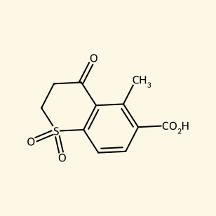 Cc1c(C(=O)O)ccc2c1C(=O)CCS2(=O)=O